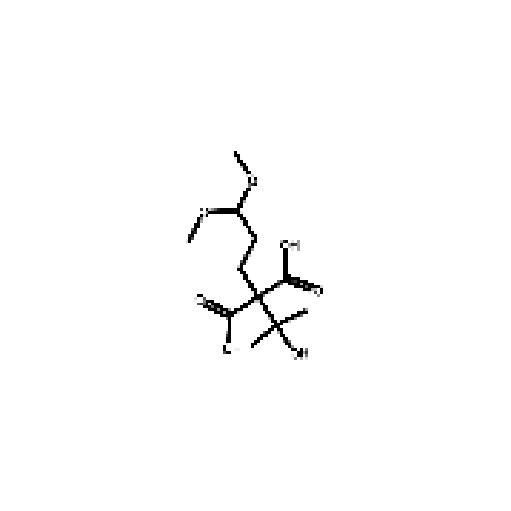 COC(CCC(C(=O)O)(C(=O)O)C(C)(C)O)OC